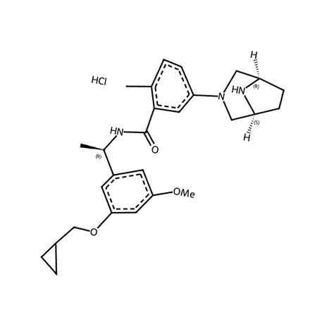 COc1cc(OCC2CC2)cc([C@@H](C)NC(=O)c2cc(N3C[C@H]4CC[C@@H](C3)N4)ccc2C)c1.Cl